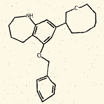 c1ccc(COc2cc(C3CCCCCCC3)cc3c2CCCCN3)cc1